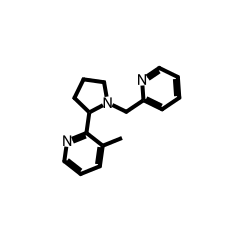 Cc1cccnc1C1CCCN1Cc1ccccn1